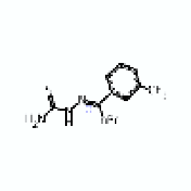 CCC/C(=N\NC(N)=S)c1cccc(C(F)(F)F)c1